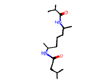 CC(C)CC(=O)NC(C)CCCC(C)NC(=O)C(C)C